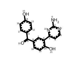 Nc1nccc(-c2cc(C(=O)c3ccc(O)cc3)ccc2O)n1